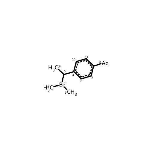 CC(=O)c1ccc([CH](C)[Bi]([CH3])[CH3])cc1